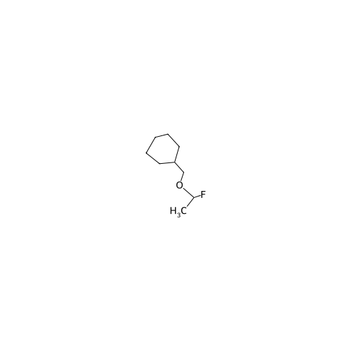 CC(F)OCC1CCCCC1